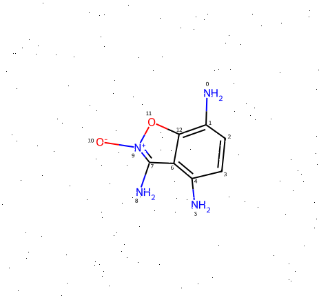 Nc1ccc(N)c2c(N)[n+]([O-])oc12